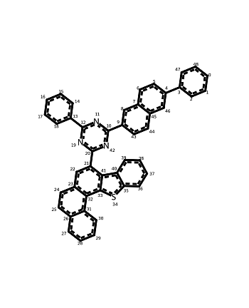 c1ccc(-c2ccc3cc(-c4nc(-c5ccccc5)nc(-c5cc6ccc7ccccc7c6c6sc7ccccc7c56)n4)ccc3c2)cc1